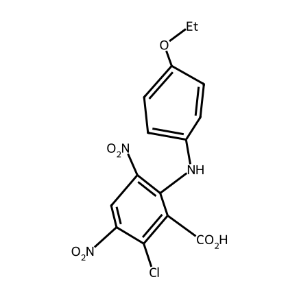 CCOc1ccc(Nc2c([N+](=O)[O-])cc([N+](=O)[O-])c(Cl)c2C(=O)O)cc1